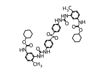 Cc1ccc(NC(=O)OC2CCCCC2)cc1NC(=O)Nc1ccc(S(=O)(=O)c2ccc(NC(=O)Nc3cc(NC(=O)OC4CCCCC4)ccc3C)cc2)cc1